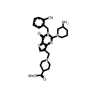 COC(=O)C1CCN(Cc2csc3c(=O)n(Cc4ccccc4C#N)c(N4CCCC(N)C4)nc23)CC1